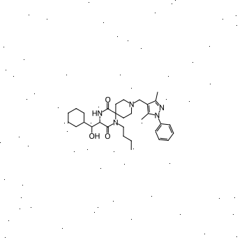 CCCCN1C(=O)C(C(O)C2CCCCC2)NC(=O)C12CCN(Cc1c(C)nn(-c3ccccc3)c1C)CC2